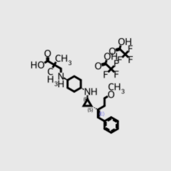 COCC/C(=C\c1ccccc1)[C@@H]1C[C@H]1N[C@H]1CC[C@H](NCC(C)(C)C(=O)O)CC1.O=C(O)C(F)(F)F.O=C(O)C(F)(F)F